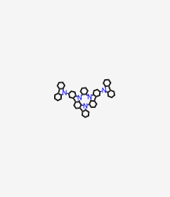 c1ccc2c(c1)c1ccccc1n2-c1ccc2c(c1)c1cccc3c1n2c1ccccc1n1c2ccc(-n4c5ccccc5c5ccccc54)cc2c2ccc4c5ccccc5n3c4c21